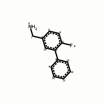 NCc1ccc(F)c(-c2c[c]ccc2)c1